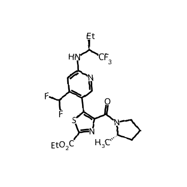 CCOC(=O)c1nc(C(=O)N2CCC[C@@H]2C)c(-c2cnc(N[C@@H](CC)C(F)(F)F)cc2C(F)F)s1